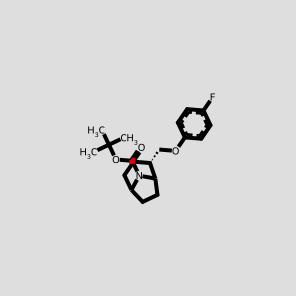 CC(C)(C)OC(=O)N1C2CCC1[C@@H](COc1ccc(F)cc1)CC2